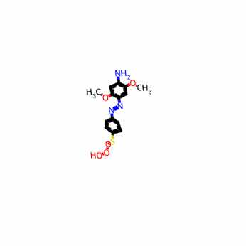 COc1cc(N=Nc2ccc(SOOO)cc2)c(OC)cc1N